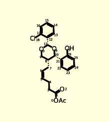 CC(=O)OC(=O)CC/C=C\C[C@@H]1CO[C@H](c2ccccc2Cl)O[C@@H]1c1ccccc1O